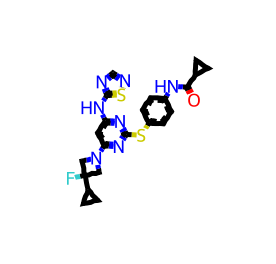 O=C(Nc1ccc(Sc2nc(Nc3ncns3)cc(N3CC(F)(C4CC4)C3)n2)cc1)C1CC1